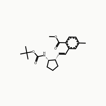 COC(=O)c1ccc(C)cc1/C=C/[C@@H]1CCC[C@@H]1NC(=O)OC(C)(C)C